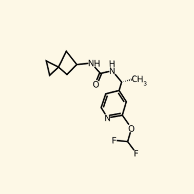 C[C@@H](NC(=O)NC1CC2(CC2)C1)c1ccnc(OC(F)F)c1